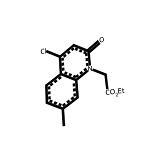 CCOC(=O)Cn1c(=O)cc(Cl)c2ccc(C)cc21